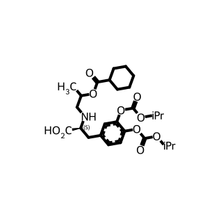 CC(C)OC(=O)Oc1ccc(C[C@H](NCC(C)OC(=O)C2CCCCC2)C(=O)O)cc1OC(=O)OC(C)C